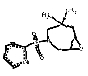 CC1(C)CC2OC2CN(S(=O)(=O)c2ccccn2)C1